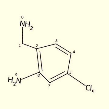 NCc1ccc(Cl)cc1N